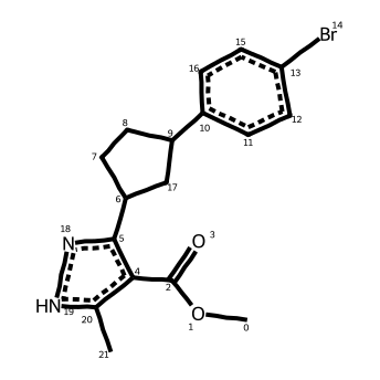 COC(=O)c1c(C2CCC(c3ccc(Br)cc3)C2)n[nH]c1C